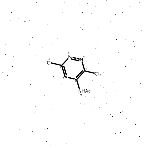 CC(=O)Nc1cc(Cl)nnc1Cl